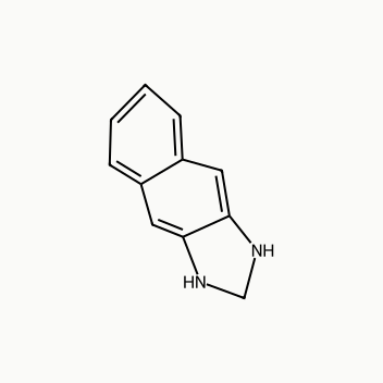 c1ccc2cc3c(cc2c1)NCN3